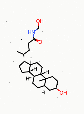 CC(CCC(=O)NCO)[C@H]1CC[C@H]2[C@@H]3CC[C@@H]4C[C@H](O)CCC4(C)[C@H]3CC[C@]12C